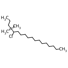 CCCCCCCCCCCCCC(Cl)[N+](C)(C)CCC